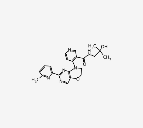 Cc1cccc(-c2ncc3c(n2)N(c2ccncc2C(=O)NCC(C)(C)O)CCO3)n1